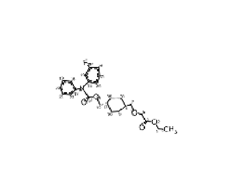 CCOC(=O)COC[C@H]1CC[C@H](COC(=O)N(c2ccccc2)c2cccc(F)c2)CC1